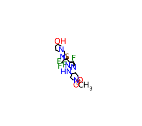 CS(=O)(=O)N1CCC(Nc2ncc(F)c(-c3sc(CN4CCCC(O)C4)nc3C(F)(F)F)n2)CC1